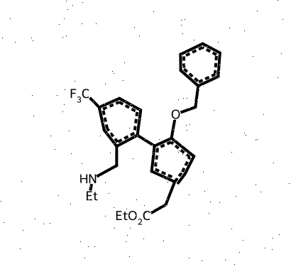 CCNCc1cc(C(F)(F)F)ccc1-c1cc(CC(=O)OCC)ccc1OCc1ccccc1